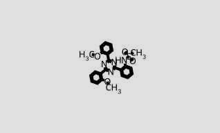 COc1ccccc1-c1nc(-c2ccccc2NS(C)(=O)=O)nc(-c2ccccc2OC)n1